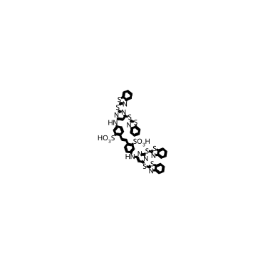 O=S(=O)(O)c1cc(Nc2cc(Sc3nc4ccccc4s3)nc(Sc3nc4ccccc4s3)n2)ccc1C=Cc1ccc(Nc2cc(Sc3nc4ccccc4s3)nc(Sc3nc4ccccc4s3)n2)cc1S(=O)(=O)O